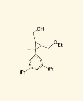 CCOCC1C(CO)[C@]1(C)c1cc(C(C)C)cc(C(C)C)c1